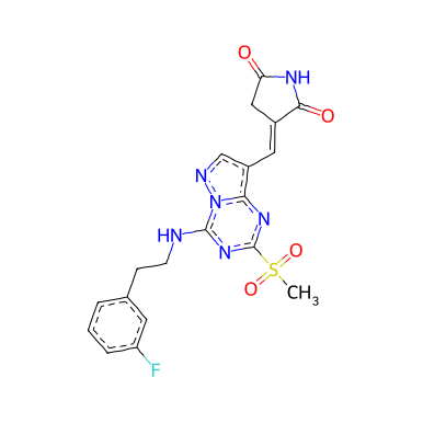 CS(=O)(=O)c1nc(NCCc2cccc(F)c2)n2ncc(C=C3CC(=O)NC3=O)c2n1